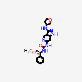 COC[C@@H](NC(=O)Nc1cc2[nH]nc(N[C@@H]3CCOC3)c2cn1)c1ccccc1